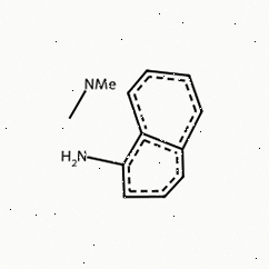 CNC.Nc1cccc2ccccc12